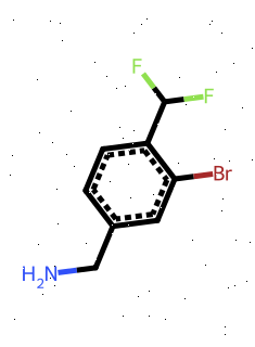 NCc1ccc(C(F)F)c(Br)c1